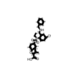 CCN(c1ccc(Cl)cc1CNCc1ccccc1)S(=O)(=O)c1ccc2oc(C(=O)O)c(C)c2c1